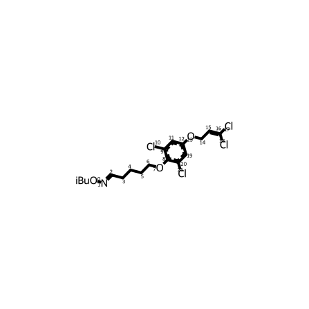 CC(C)CO/N=C/CCCCOc1c(Cl)cc(OCC=C(Cl)Cl)cc1Cl